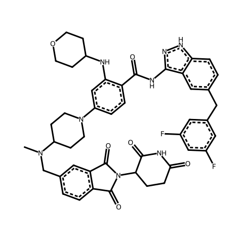 CN(Cc1ccc2c(c1)C(=O)N(C1CCC(=O)NC1=O)C2=O)C1CCN(c2ccc(C(=O)Nc3n[nH]c4ccc(Cc5cc(F)cc(F)c5)cc34)c(NC3CCOCC3)c2)CC1